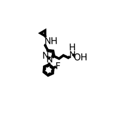 ONCCCc1cc(CNC2CC2)nn1-c1ccccc1F